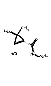 CC1(C)C[C@H]1C(=O)NN.Cl